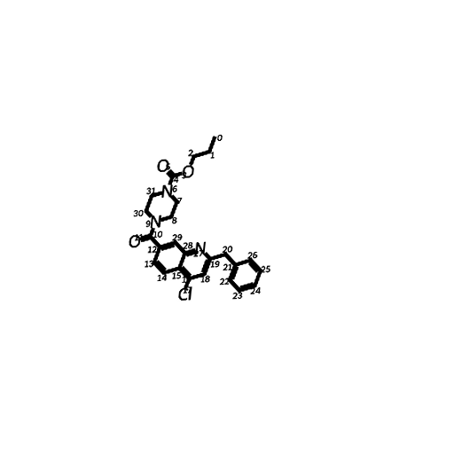 CCCOC(=O)N1CCN(C(=O)c2ccc3c(Cl)cc(Cc4ccccc4)nc3c2)CC1